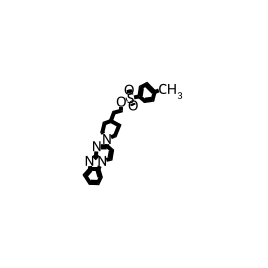 Cc1ccc(S(=O)(=O)OCCC2CCN(c3ccn4c(n3)nc3ccccc34)CC2)cc1